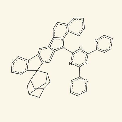 c1ccc(-c2nc(-c3ccccn3)nc(-n3c4cc5c(cc4c4ccc6ccccc6c43)-c3ccccc3C53C4CC5CC(C4)CC3C5)n2)nc1